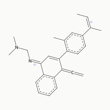 C=C=C1C(c2ccc(/C(C)=C\C)cc2C)=C/C(=N\CN(C)C)c2ccccc21